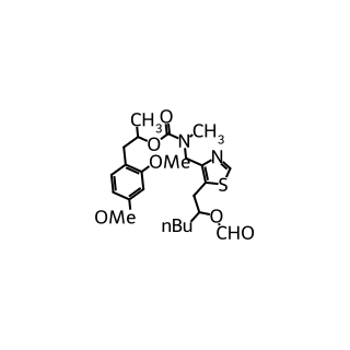 CCCCC(Cc1scnc1CN(C)C(=O)OC(C)Cc1ccc(OC)cc1OC)OC=O